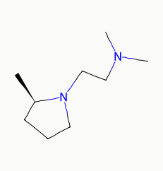 C[C@@H]1CCCN1CCN(C)C